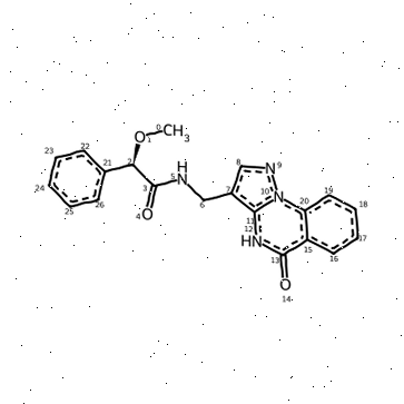 CO[C@@H](C(=O)NCc1cnn2c1[nH]c(=O)c1ccccc12)c1ccccc1